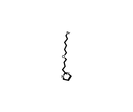 BrCCCCCCOCCCCc1ncccn1